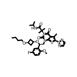 CCCCO[C@H]1C[C@@H](O[C@@H](Cn2c(=O)n(C(C)(C)C(=O)NC(C)C)c(=O)c3c(C)c(-n4nccn4)sc32)c2cc(F)ccc2OC)C1